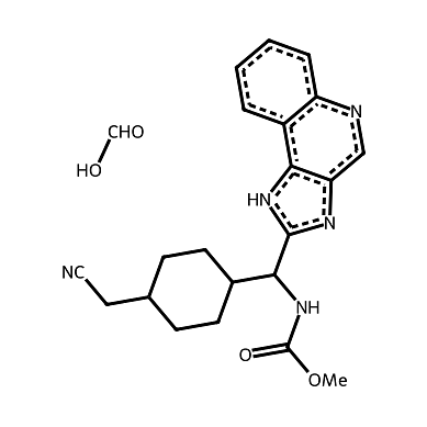 COC(=O)NC(c1nc2cnc3ccccc3c2[nH]1)C1CCC(CC#N)CC1.O=CO